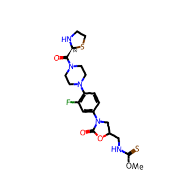 COC(=S)NCC1CN(c2ccc(N3CCN(C(=O)[C@H]4NCCS4)CC3)c(F)c2)C(=O)O1